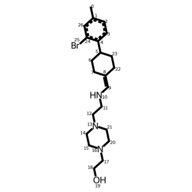 Cc1ccc(C2CCC(=CNCCN3CCN(CCO)CC3)CC2)c(Br)c1